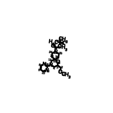 COCC1CN(c2ncccn2)CC2(CCN(C(=O)OC(C)(C)C)CC2)O1